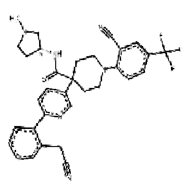 CN1CC[C@@H](NC(=O)C2(c3ccc(-c4ccccc4CC#N)nc3)CCN(c3ccc(C(F)(F)F)cc3C#N)CC2)C1